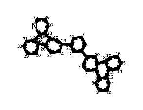 c1cc(-c2ccc3c4ccccc4c4ccccc4c3c2)cc(-c2ccc3c4ccccc4c4ncccc4c3c2)c1